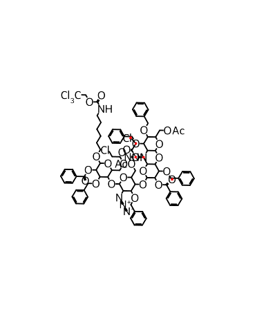 CC(=O)OCC1OC(OC2C(COC(=O)CCl)OC(OC3C(COC(C)=O)OC(OC4C(COC(=O)CCl)OC(OCCCCCCNC(=O)OCC(Cl)(Cl)Cl)C(OC(=O)c5ccccc5)C4OCc4ccccc4)C(N=[N+]=[N-])C3OCc3ccccc3)C(OC(=O)c3ccccc3)C2OCc2ccccc2)C(N=[N+]=[N-])C(OCc2ccccc2)C1OCc1ccccc1